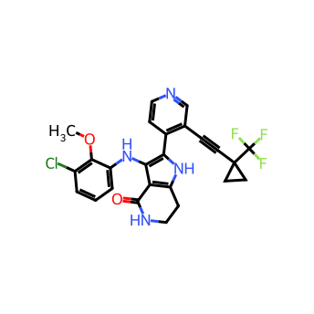 COc1c(Cl)cccc1Nc1c(-c2ccncc2C#CC2(C(F)(F)F)CC2)[nH]c2c1C(=O)NCC2